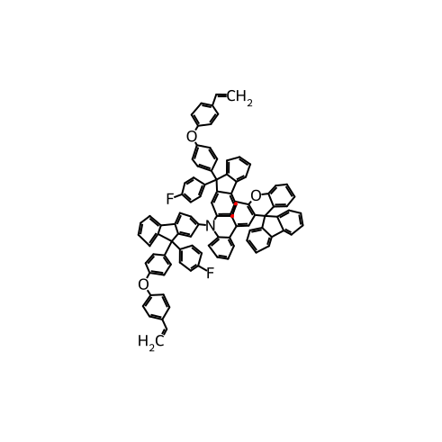 C=Cc1ccc(Oc2ccc(C3(c4ccc(F)cc4)c4ccccc4-c4ccc(N(c5ccc6c(c5)C(c5ccc(F)cc5)(c5ccc(Oc7ccc(C=C)cc7)cc5)c5ccccc5-6)c5ccccc5-c5ccc6c(c5)C5(c7ccccc7O6)c6ccccc6-c6ccccc65)cc43)cc2)cc1